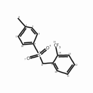 Cc1ccc(S(=O)(=O)[CH]c2ccccc2C(F)(F)F)cc1